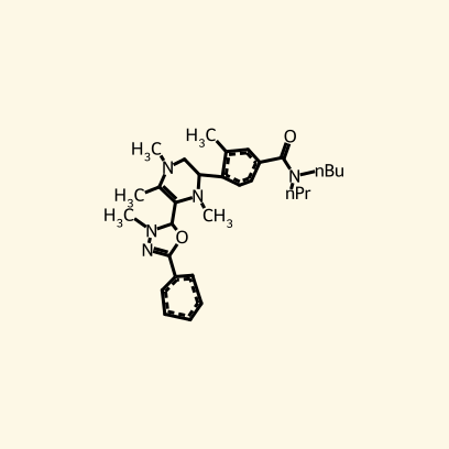 CCCCN(CCC)C(=O)c1ccc(C2CN(C)C(C)=C(C3OC(c4ccccc4)=NN3C)N2C)c(C)c1